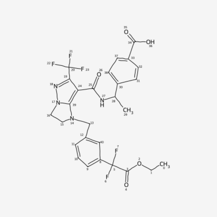 CCOC(=O)C(F)(F)c1cccc(CN2CCn3nc(C(F)(F)F)c(C(=O)NC(C)c4ccc(C(=O)O)cc4)c32)c1